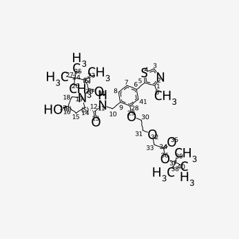 Cc1ncsc1-c1ccc(CNC(=O)[C@@H]2C[C@@H](O)CN2C(=O)[C@@H](C)C(C)(C)C)c(OCCOCC(=O)OC(C)(C)C)c1